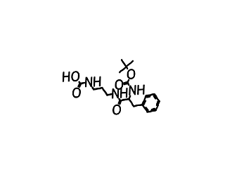 CC(C)(C)OC(=O)NC(Cc1ccccc1)C(=O)NCCCNC(=O)O